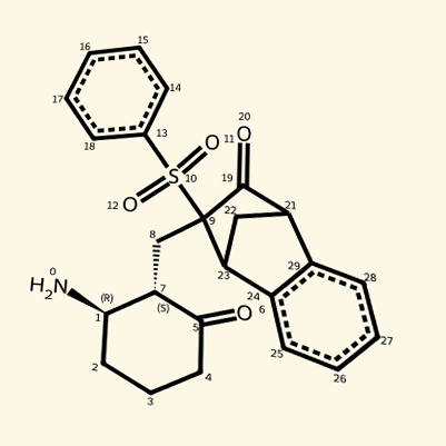 N[C@@H]1CCCC(=O)[C@H]1CC1(S(=O)(=O)c2ccccc2)C(=O)C2CC1c1ccccc12